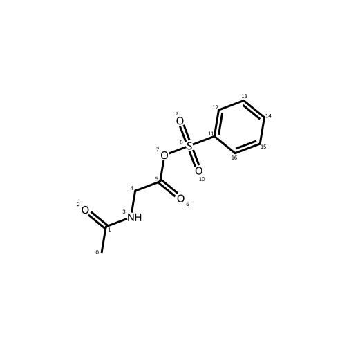 CC(=O)NCC(=O)OS(=O)(=O)c1ccccc1